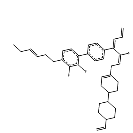 C=C/C=C(\C(F)=C/CC1=CCC(C2CCC(C=C)CC2)CC1)c1ccc(-c2ccc(CC/C=C/CC)c(F)c2F)cc1